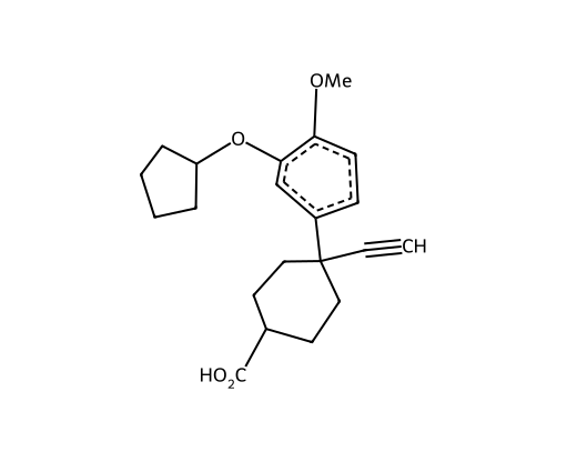 C#CC1(c2ccc(OC)c(OC3CCCC3)c2)CCC(C(=O)O)CC1